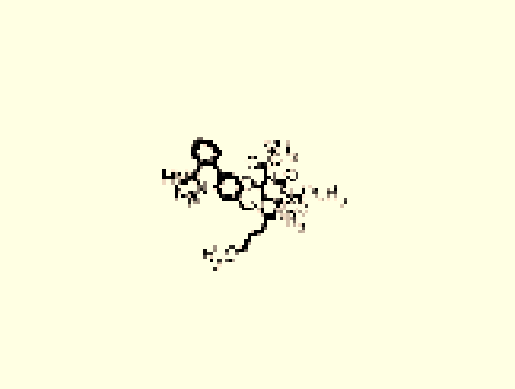 CCCCC1=NC2(C)C(C(=O)N(C(=O)OC)C(=O)N2C(=O)OC)N1Cc1ccc(-c2ccccc2-c2nnn[nH]2)cc1